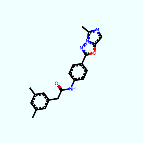 Cc1cc(C)cc(CC(=O)Nc2ccc(-c3nn4c(C)ncc4o3)cc2)c1